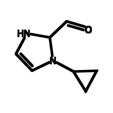 O=CC1NC=CN1C1CC1